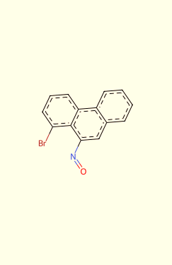 O=Nc1cc2ccccc2c2cccc(Br)c12